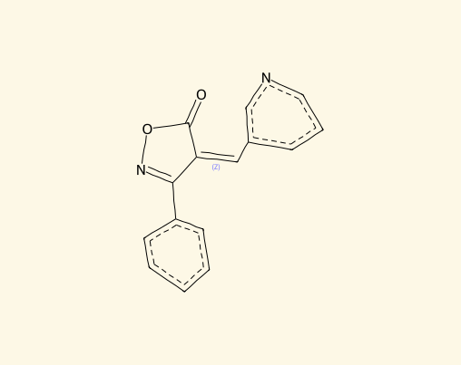 O=C1ON=C(c2ccccc2)/C1=C/c1cccnc1